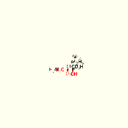 O.O=C(O)O.O=C(O)O.[AlH3].[MgH2].[SiH4]